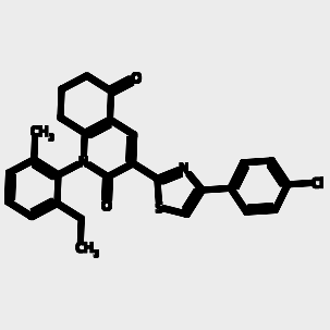 CCc1cccc(C)c1-n1c2c(cc(-c3nc(-c4ccc(Cl)cc4)cs3)c1=O)C(=O)CCC2